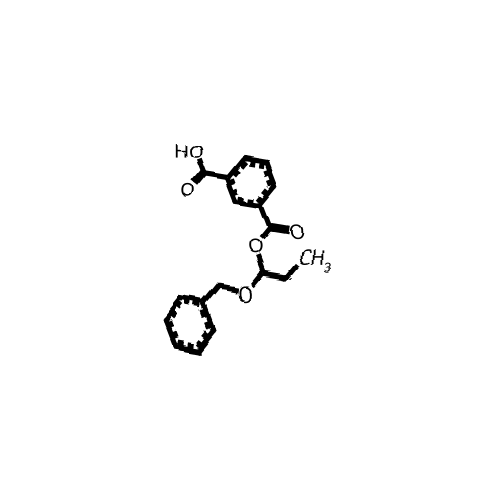 C[CH]C(OCc1ccccc1)OC(=O)c1cccc(C(=O)O)c1